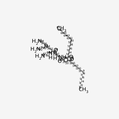 CCCCCCCC/C=C\CCCCCCCC(=O)c1ccc(C(=O)NCCNC(=O)[C@H](CCCN(CCCN)CCCN)NCCCN)cc1C(=O)CCCCCCC/C=C\CCCCCCCC